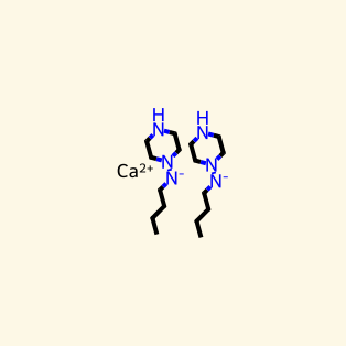 CCCC[N-]N1CCNCC1.CCCC[N-]N1CCNCC1.[Ca+2]